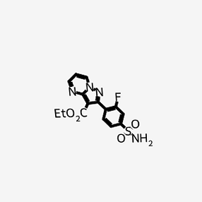 CCOC(=O)c1c(-c2ccc(S(N)(=O)=O)cc2F)nn2cccnc12